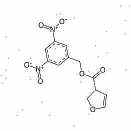 O=C(OCc1cc([N+](=O)[O-])cc([N+](=O)[O-])c1)C1C=COC1